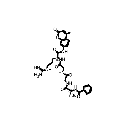 CCCC[C@H](NC(=O)c1ccccc1)C(=O)NCC(=O)NCC(=O)N[C@@H](CCCNC(=N)N)C(=O)Nc1ccc2c(C)cc(=O)oc2c1